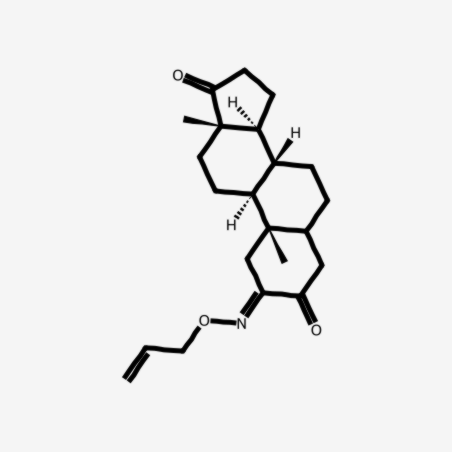 C=CCON=C1C[C@@]2(C)C(CC[C@@H]3[C@@H]2CC[C@]2(C)C(=O)CC[C@@H]32)CC1=O